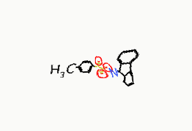 Cc1ccc(S(=O)(=O)ON=C2c3ccccc3-c3ccccc32)cc1